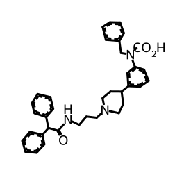 O=C(NCCCN1CCC(c2cccc(N(Cc3ccccc3)C(=O)O)c2)CC1)C(c1ccccc1)c1ccccc1